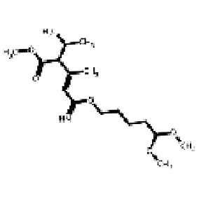 COC(=O)C(/C(C)=C/C(=N)OCCCCC(OC)OC)C(C)C